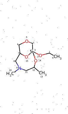 CCO[Si]12COCC(CN(C)CC(C)O1)O2